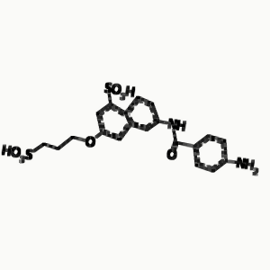 Nc1ccc(C(=O)Nc2ccc3c(S(=O)(=O)O)cc(OCCCS(=O)(=O)O)cc3c2)cc1